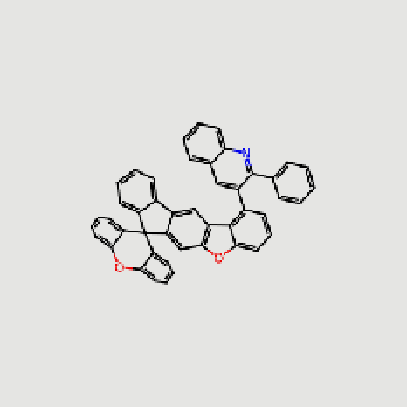 c1ccc(-c2nc3ccccc3cc2-c2cccc3oc4cc5c(cc4c23)-c2ccccc2C52c3ccccc3Oc3ccccc32)cc1